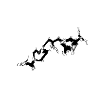 O=C(O)N1CCN(CC(O)Cn2cc([N+](=O)[O-])nc2Cl)CC1